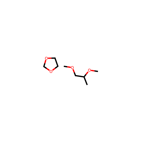 C1COCO1.COCC(C)OC